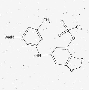 CNc1cc(C)nc(Nc2cc3c(c(OS(=O)(=O)C(F)(F)F)c2)OCO3)c1